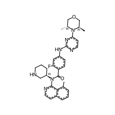 Cc1cccc2ccnc(N(C(=O)c3ccc(Nc4nccc(N5[C@H](C)COC[C@H]5C)n4)cc3F)[C@@H]3CCCNC3)c12